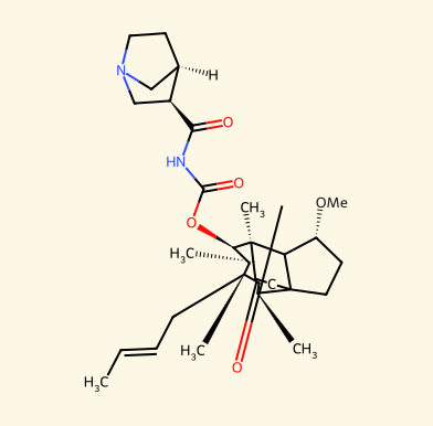 C/C=C/C[C@]1(C)C[C@@H](OC(=O)NC(=O)[C@H]2CN3CC[C@@H]2C3)[C@@]2(C)C3[C@H](OC)CCC3(CC[C@H]2C)[C@@H](C)C1=O